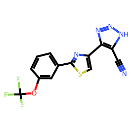 N#Cc1[nH]nnc1-c1csc(-c2cccc(OC(F)(F)F)c2)n1